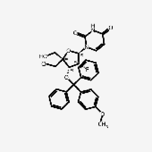 COc1ccc(C(O[C@H]2[C@@H](F)[C@H](n3ccc(=O)[nH]c3=O)O[C@@]2(CO)CCl)(c2ccccc2)c2ccccc2)cc1